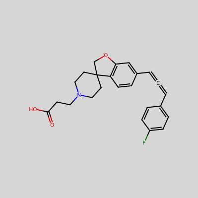 O=C(O)CCN1CCC2(CC1)COc1cc(C=C=Cc3ccc(F)cc3)ccc12